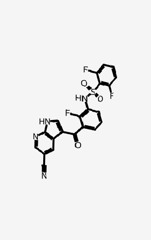 N#Cc1cnc2[nH]cc(C(=O)c3cccc(NS(=O)(=O)c4c(F)cccc4F)c3F)c2c1